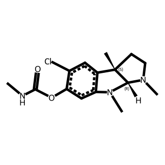 CNC(=O)Oc1cc2c(cc1Cl)[C@]1(C)CCN(C)[C@@H]1N2C